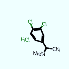 CNC(C#N)c1ccc(Cl)c(Cl)c1.Cl